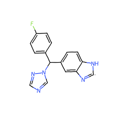 Fc1ccc(C(c2ccc3[nH][c]nc3c2)n2cncn2)cc1